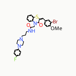 COc1ccc(/C=C2/Sc3ccccc3N(CC(=O)NCCCN3CCN(c4ccc(F)cc4)CC3)C2=O)cc1Br